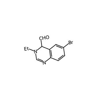 CCN1C=Nc2ccc(Br)cc2C1C=O